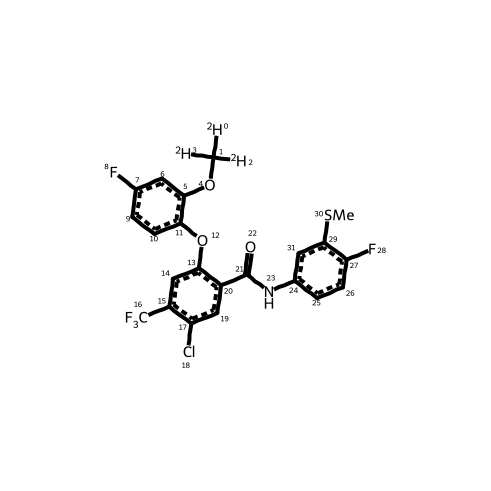 [2H]C([2H])([2H])Oc1cc(F)ccc1Oc1cc(C(F)(F)F)c(Cl)cc1C(=O)Nc1ccc(F)c(SC)c1